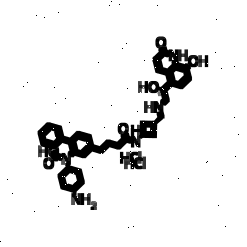 Cl.Cl.N[C@H]1CC[C@H](N(C(=O)O)c2cc(CCCC(=O)N[C@H]3C[C@H](CNC[C@H](O)c4ccc(O)c5[nH]c(=O)ccc45)C3)ccc2-c2ccccc2)CC1